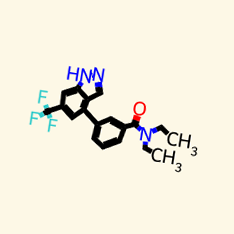 CCN(CC)C(=O)c1cccc(-c2cc(C(F)(F)F)cc3[nH]ncc23)c1